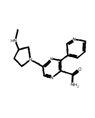 CNC1CCN(c2cnc(C(N)=O)c(-c3cccnc3)n2)C1